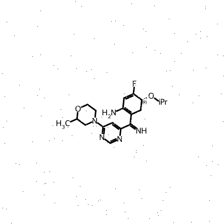 CC(C)O[C@@H]1CC(C(=N)c2cc(N3CCOC(C)C3)ncn2)=C(N)C=C1F